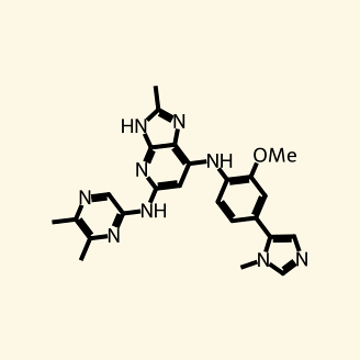 COc1cc(-c2cncn2C)ccc1Nc1cc(Nc2cnc(C)c(C)n2)nc2[nH]c(C)nc12